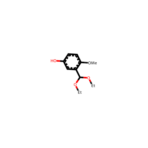 CCOC(OCC)c1cc(O)ccc1OC